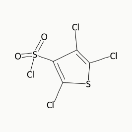 O=S(=O)(Cl)c1c(Cl)sc(Cl)c1Cl